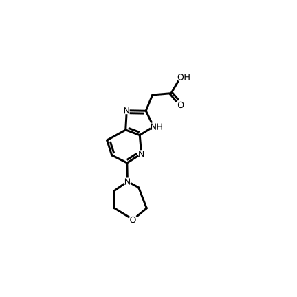 O=C(O)Cc1nc2ccc(N3CCOCC3)nc2[nH]1